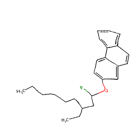 CCCCCCC(CC)CC(F)Oc1ccc2c(ccc3ccccc32)c1